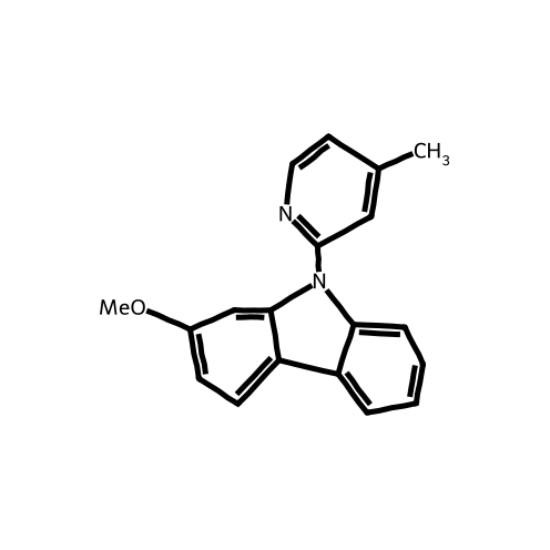 COc1ccc2c3ccccc3n(-c3cc(C)ccn3)c2c1